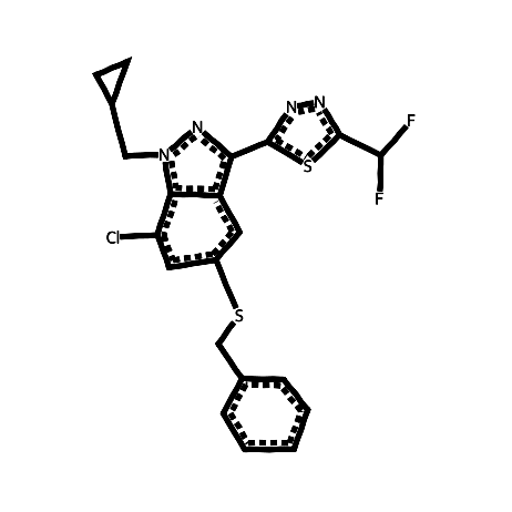 FC(F)c1nnc(-c2nn(CC3CC3)c3c(Cl)cc(SCc4ccccc4)cc23)s1